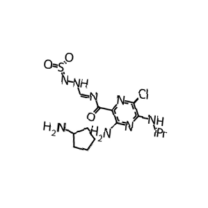 CC(C)Nc1nc(N)c(C(=O)N=CNN=S(=O)=O)nc1Cl.NC1CCCC1